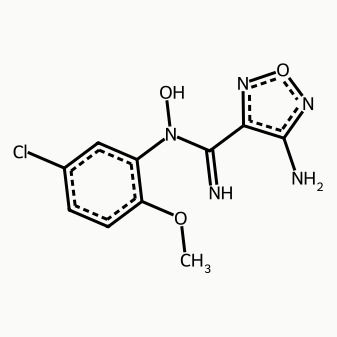 COc1ccc(Cl)cc1N(O)C(=N)c1nonc1N